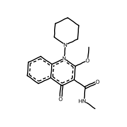 CNC(=O)c1c(OC)n(N2CCCCC2)c2ccccc2c1=O